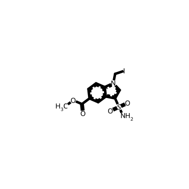 COC(=O)c1ccc2c(c1)c(S(N)(=O)=O)cn2CI